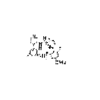 COc1cc(F)c(-c2ccc3cnc(Nc4cnccc4[C@@H]4C[C@H](C)C[C@H](N)C4)n3n2)c(F)c1